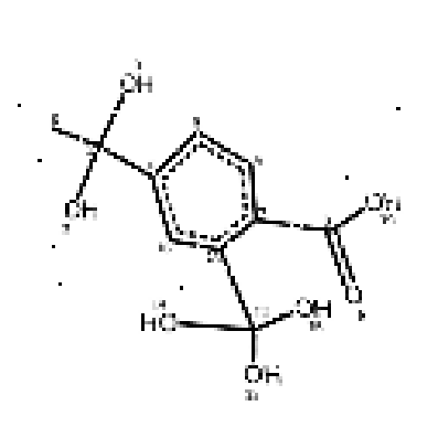 CC(O)(O)c1ccc(C(=O)O)c(C(O)(O)O)c1